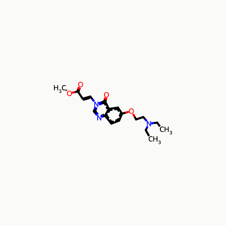 CCN(CC)CCOc1ccc2ncn(C=CC(=O)OC)c(=O)c2c1